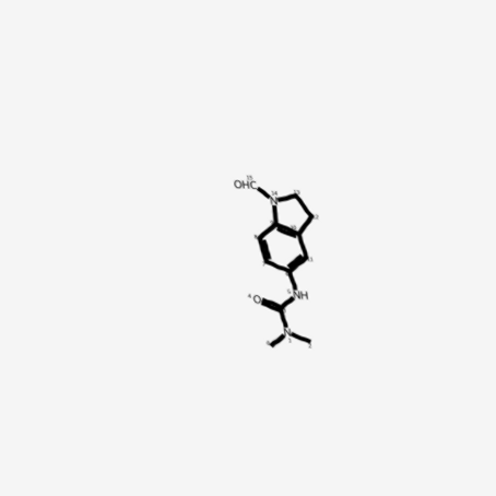 CN(C)C(=O)Nc1ccc2c(c1)CCN2C=O